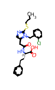 CCCSc1ncc(CC(=O)N[C@@H](CCc2ccccc2)C(=O)O)n1Cc1ccccc1Cl